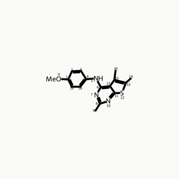 COc1ccc(Nc2nc(C)nc3sc(C)c(C)c23)cc1